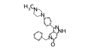 CN1CCN(c2ccc(-c3n[nH]c4cc(=O)n(Cc5ccccc5)cc34)cc2)CC1